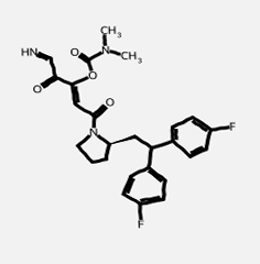 CN(C)C(=O)O/C(=C\C(=O)N1CCC[C@@H]1CC(c1ccc(F)cc1)c1ccc(F)cc1)C(=O)C=N